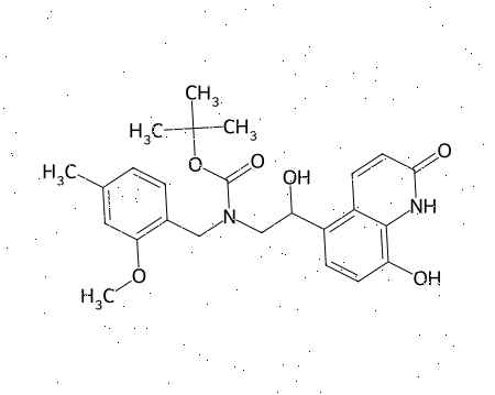 COc1cc(C)ccc1CN(CC(O)c1ccc(O)c2[nH]c(=O)ccc12)C(=O)OC(C)(C)C